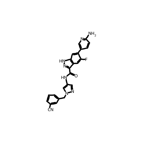 N#Cc1cccc(Cn2cc(NC(=O)c3n[nH]c4cc(-c5ccc(N)nc5)c(F)cc34)cn2)c1